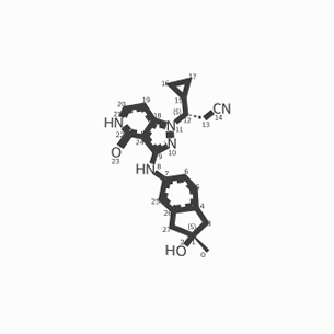 C[C@]1(O)Cc2ccc(Nc3nn([C@@H](CC#N)C4CC4)c4cc[nH]c(=O)c34)cc2C1